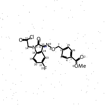 COC(=O)c1ccc(CO/N=C2/C(=O)N(CC(=O)Cl)c3ccc(F)cc32)cc1